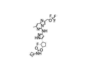 Cc1cc2nc(COC(F)(F)F)cn2c(Nc2cc([C@@H]3CC[C@H](OC(=O)NC45CC(C4)C5)[C@@H]3F)[nH]n2)n1